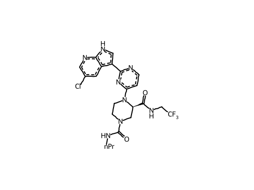 CCCNC(=O)N1CCN(c2ccnc(-c3c[nH]c4ncc(Cl)cc34)n2)[C@@H](C(=O)NCC(F)(F)F)C1